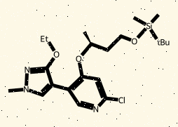 CCOc1nn(C)cc1-c1cnc(Cl)cc1O[C@@H](C)CCO[Si](C)(C)C(C)(C)C